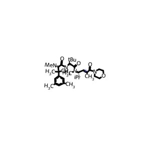 CN[C@H](C(=O)N[C@H](C(=O)N(C)[C@H](/C=C(\C)C(=O)N1CCOCC1)C(C)C)C(C)(C)C)C(C)(C)c1cc(C)cc(C)c1